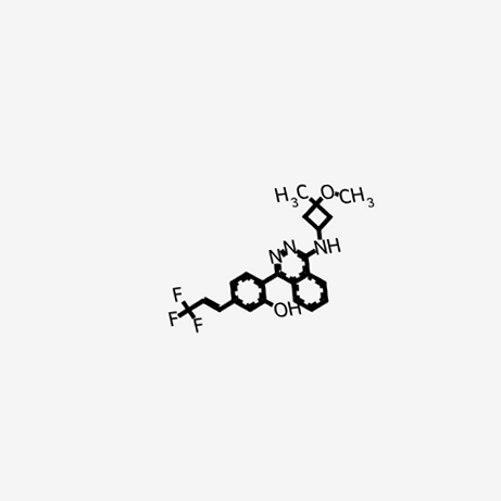 COC1(C)CC(Nc2nnc(-c3ccc(/C=C/C(F)(F)F)cc3O)c3ccccc23)C1